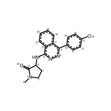 CN1CCC(Nc2nnc(-c3ccc(Cl)cc3)c3ccccc23)C1=O